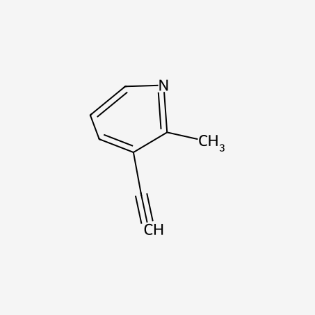 C#Cc1cccnc1C